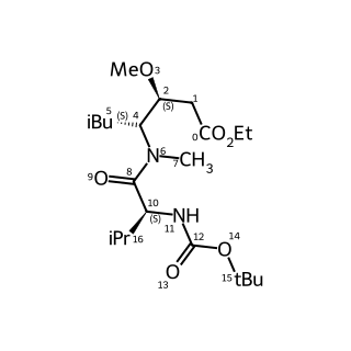 CCOC(=O)C[C@H](OC)C([C@@H](C)CC)N(C)C(=O)[C@@H](NC(=O)OC(C)(C)C)C(C)C